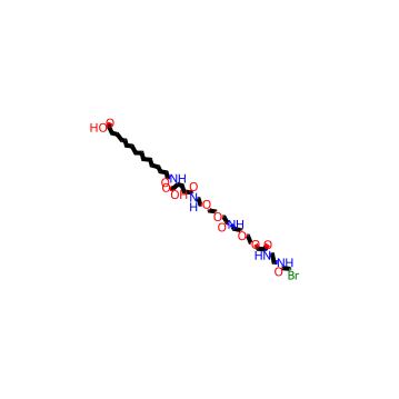 O=C(O)CCCCCCCCCCCCCCC(=O)NC(CCC(=O)NCCOCCOCC(=O)NCCOCCOCC(=O)NCCNC(=O)CBr)C(=O)O